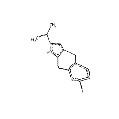 CC(C)c1cc2c([nH]1)Cc1nc(I)ccc1C2